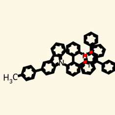 Cc1ccc(-c2ccc3c(c2)c2ccccc2n3-c2cccc(-c3nc(-c4ccccc4)cc(-c4ccccc4)n3)c2-c2ccccc2-n2c3ccccc3c3ccccc32)cc1